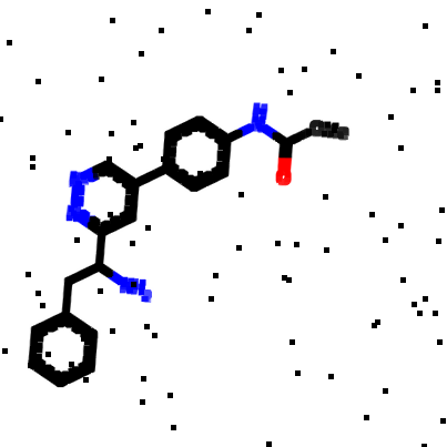 COC(=O)Nc1ccc(-c2cnnc(C(N)Cc3ccccc3)c2)cc1